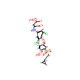 O=C(O)CC(=O)Nc1cc(Cl)c(Oc2ccc(O)c(S(=O)(=O)CC3CC3)c2)c(Cl)c1